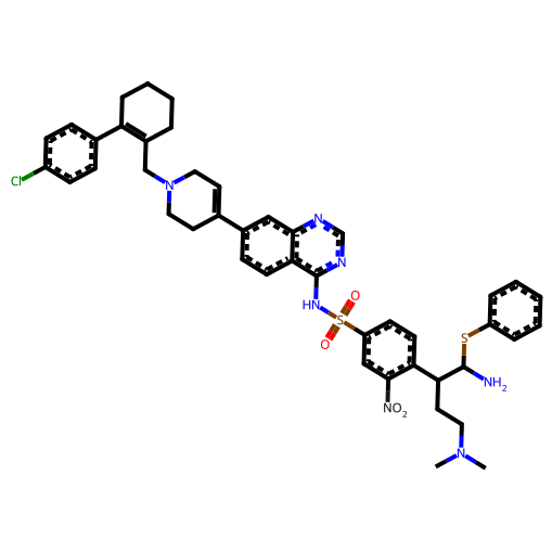 CN(C)CCC(c1ccc(S(=O)(=O)Nc2ncnc3cc(C4=CCN(CC5=C(c6ccc(Cl)cc6)CCCC5)CC4)ccc23)cc1[N+](=O)[O-])C(N)Sc1ccccc1